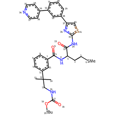 CSCCC(NC(=O)c1cccc(C(C)(C)CNC(=O)OC(C)(C)C)c1)C(=O)Nc1nc(-c2cccc(-c3ccncc3)c2)cs1